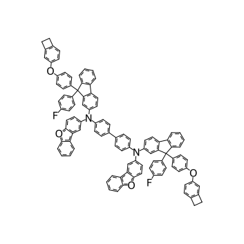 Fc1ccc(C2(c3ccc(Oc4ccc5c(c4)CC5)cc3)c3ccccc3-c3ccc(N(c4ccc(-c5ccc(N(c6ccc7c(c6)C(c6ccc(F)cc6)(c6ccc(Oc8ccc9c(c8)CC9)cc6)c6ccccc6-7)c6ccc7oc8ccccc8c7c6)cc5)cc4)c4ccc5oc6ccccc6c5c4)cc32)cc1